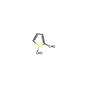 O=CC1=CC=C[SH]1C=O